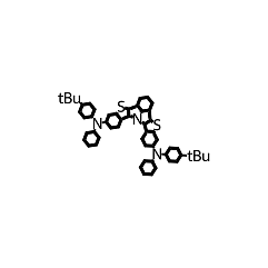 CC(C)(C)c1ccc(N(c2ccccc2)c2ccc3c(c2)sc2c4cccc5c6sc7cc(N(c8ccccc8)c8ccc(C(C)(C)C)cc8)ccc7c6n(c45)c32)cc1